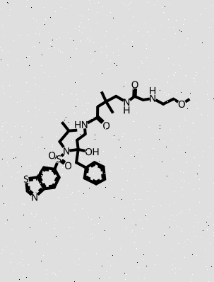 COCCNCC(=O)NCC(C)(C)CC(=O)NCCC(O)(Cc1ccccc1)N(CC(C)C)S(=O)(=O)c1ccc2ncsc2c1